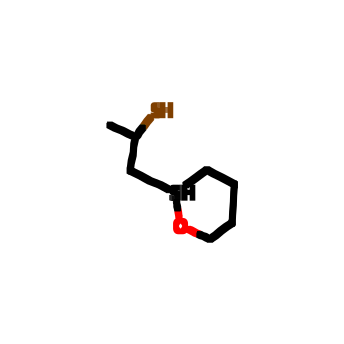 CC(S)C[SiH]1CCCCO1